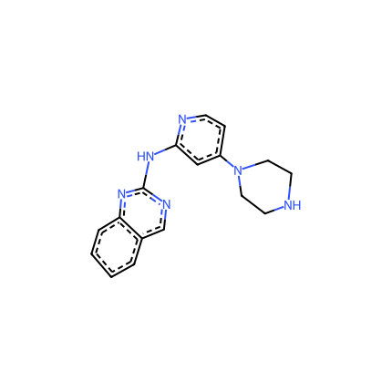 c1ccc2nc(Nc3cc(N4CCNCC4)ccn3)ncc2c1